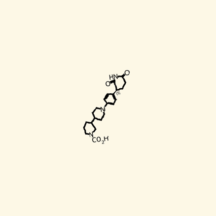 O=C1CC[C@@H](c2ccc(N3CCC(C4CCCN(C(=O)O)C4)CC3)cc2)C(=O)N1